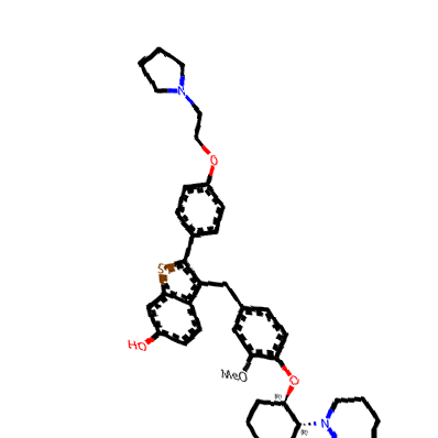 COc1cc(Cc2c(-c3ccc(OCCN4CCCC4)cc3)sc3cc(O)ccc23)ccc1O[C@@H]1CCCC[C@H]1N1CCCCC1